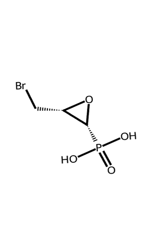 O=P(O)(O)[C@H]1O[C@H]1CBr